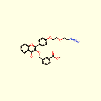 COC(=O)c1cccc(COc2c(-c3ccc(OCCOCCN=[N+]=[N-])cc3)oc3ccccc3c2=O)c1